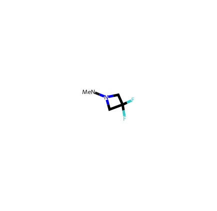 CNN1CC(F)(F)C1